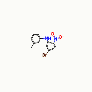 Cc1cccc(Nc2cc(Br)ccc2[N+](=O)[O-])c1